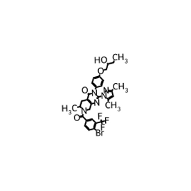 CCC(O)COc1ccc(-n2c(-n3nc(C)cc3C)nc3c(c2=O)CC(C)N(C(=O)c2ccc(Br)c(C(F)(F)F)c2)C3)cc1